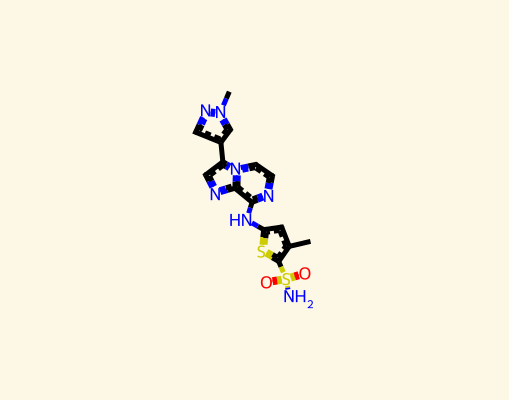 Cc1cc(Nc2nccn3c(-c4cnn(C)c4)cnc23)sc1S(N)(=O)=O